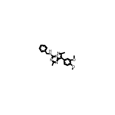 COc1ccc(-c2c(C)nn3c(NCc4ccccc4)nc(C)nc23)cc1OC